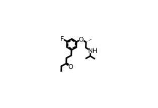 CCC(=O)CCc1cc(F)cc(O[C@H](C)CNC(C)C)c1